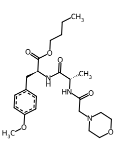 CCCCOC(=O)[C@H](Cc1ccc(OC)cc1)NC(=O)[C@H](C)NC(=O)CN1CCOCC1